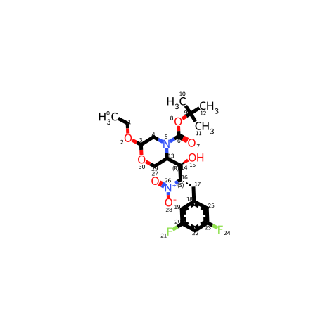 CCOC1CN(C(=O)OC(C)(C)C)C([C@@H](O)[C@H](Cc2cc(F)cc(F)c2)[N+](=O)[O-])CO1